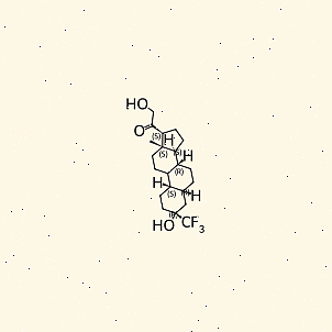 C[C@]12CCC3[C@H]4CC[C@](O)(C(F)(F)F)C[C@H]4CC[C@H]3[C@@H]1CC[C@@H]2C(=O)CO